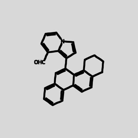 O=Cc1cccn2ccc(-c3cc4ccccc4c4ccc5c(c34)CCCC5)c12